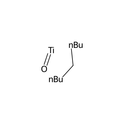 [CH2]CCCCCCCC.[O]=[Ti]